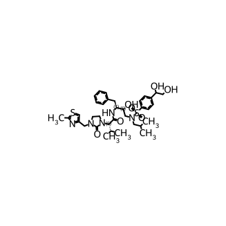 Cc1nc(CN2CCN([C@H](C(=O)N[C@@H](Cc3ccccc3)[C@@H](O)CN(CC(C)C)S(=O)(=O)c3ccc(C(O)CO)cc3)C(C)C)C2=O)cs1